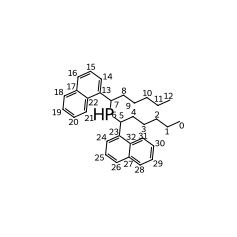 CCCCCC(PC(CCCCC)c1cccc2ccccc12)c1cccc2ccccc12